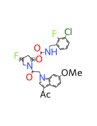 COc1ccc2c(C(C)=O)cn(CC(=O)N3C[C@H](F)C[C@@H]3OC(=O)NCc3cccc(Cl)c3F)c2c1